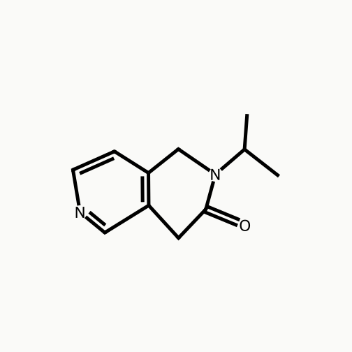 CC(C)N1Cc2ccncc2CC1=O